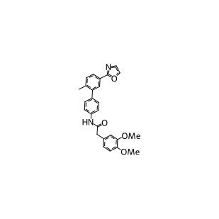 COc1ccc(CC(=O)Nc2ccc(-c3cc(-c4ncco4)ccc3C)cc2)cc1OC